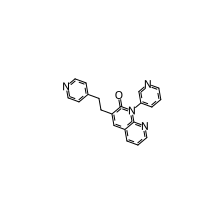 O=c1c(CCc2ccncc2)cc2cccnc2n1-c1cccnc1